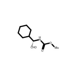 CC(C)(C)OC(=O)N[C@H](C=O)C1CCCCC1